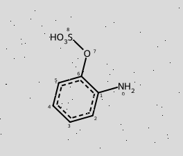 Nc1ccc[c]c1OS(=O)(=O)O